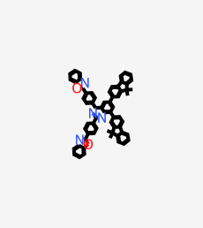 CC1(C)c2ccccc2-c2ccc(-c3cc(-c4ccc5c(c4)C(C)(C)c4ccccc4-5)c4nc(-c5ccc(-c6nc7ccccc7o6)cc5)nc(-c5ccc(-c6nc7ccccc7o6)cc5)c4c3)cc21